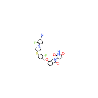 N#Cc1ccc(N2CCC(Sc3ccc(COc4cccc5c4CN(C4CCC(=O)NC4=O)C5=O)c(F)c3)CC2)c(F)c1